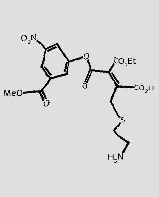 CCOC(=O)/C(C(=O)Oc1cc(C(=O)OC)cc([N+](=O)[O-])c1)=C(/CSCCN)C(=O)O